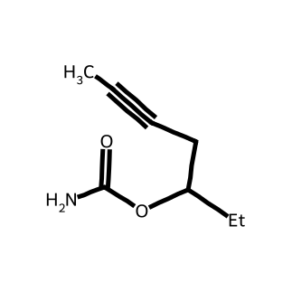 CC#CCC(CC)OC(N)=O